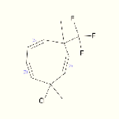 CC1(Cl)/C=C\C=C/C(C)(C(F)(F)F)/C=C\1